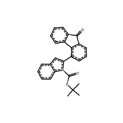 CC(C)(C)OC(=O)n1c(-c2cccc3c2-c2ccccc2C3=O)cc2ccccc21